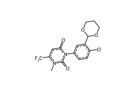 Cn1c(C(F)(F)F)cc(=O)n(-c2ccc(Cl)c(C3OCCCO3)c2)c1=O